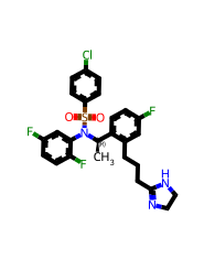 C[C@H](c1ccc(F)cc1CCCC1=NCCN1)N(c1cc(F)ccc1F)S(=O)(=O)c1ccc(Cl)cc1